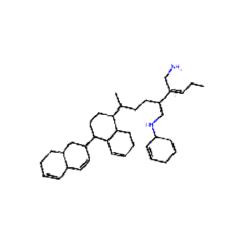 CC/C=C(\CN)C(CCC(C)C1CCC(C2C=CC3C=CCCC3C2)C2C=CCCC21)CNC1C=CCCC1